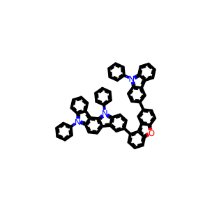 c1ccc(-n2c3ccccc3c3cc(-c4ccc5oc6cccc(-c7ccc8c(c7)c7ccc9c(c%10ccccc%10n9-c9ccccc9)c7n8-c7ccccc7)c6c5c4)ccc32)cc1